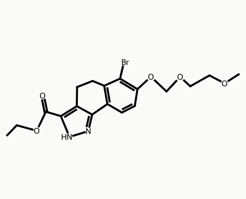 CCOC(=O)c1[nH]nc2c1CCc1c-2ccc(OCOCCOC)c1Br